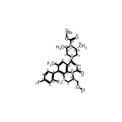 CCOC[C@H]1CSc2c(-c3ccc(F)cc3F)c(C(F)(F)F)cc3c(N4C[C@@H](C)N(C(=O)OC(C)(C)C)[C@@H](C)C4)nc(=O)n1c23